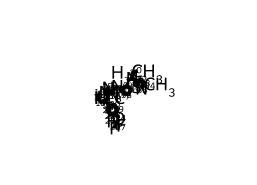 CCN(C[C@@H]1CC[C@H](C)[C@H]1Nc1nc2n(n1)CCCC2c1ccc(OC(F)(F)F)cc1)c1cc(C)ns1